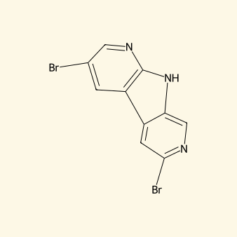 Brc1cnc2[nH]c3cnc(Br)cc3c2c1